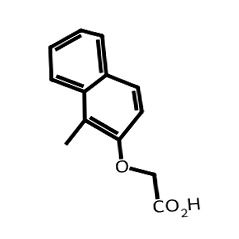 Cc1c(OCC(=O)O)ccc2ccccc12